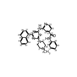 CN1CCN(c2nc(Nc3cc(C(=O)Nc4ccccc4)ccn3)nc(-c3cccc4ccccc34)n2)CC1